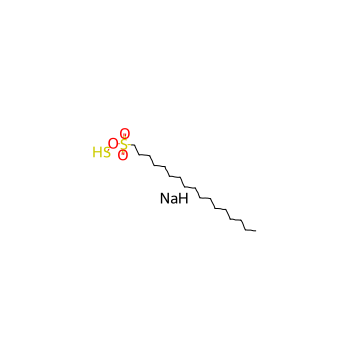 CCCCCCCCCCCCCCCCCS(=O)(=O)OS.[NaH]